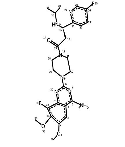 COc1cc2c(N)nc(N3CCN(C(=O)C[C@@H](NC(C)C)c4ccc(F)cn4)CC3)nc2c(F)c1OC